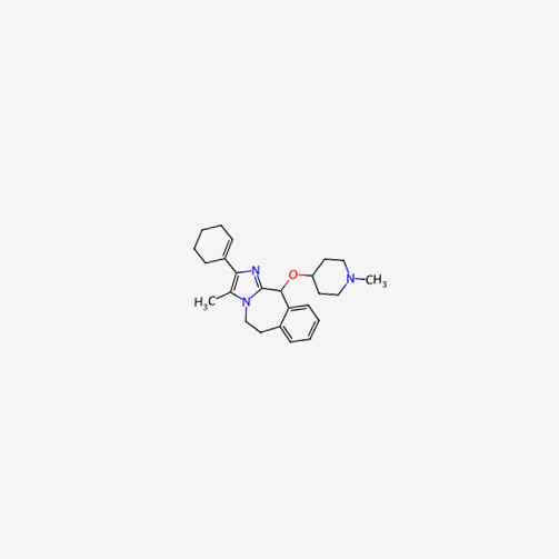 Cc1c(C2=CCCCC2)nc2n1CCc1ccccc1C2OC1CCN(C)CC1